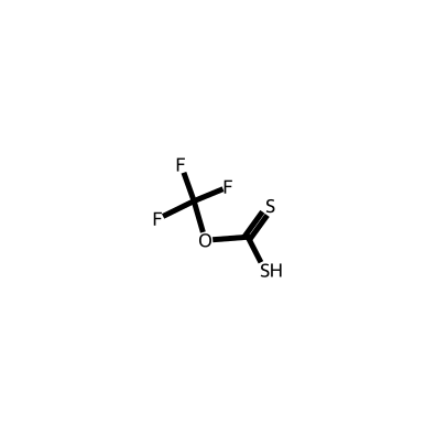 FC(F)(F)OC(=S)S